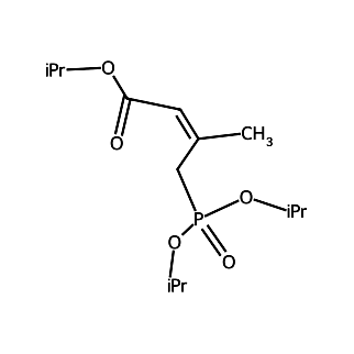 CC(=CC(=O)OC(C)C)CP(=O)(OC(C)C)OC(C)C